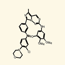 COc1cc(Nc2ncc3c(C)nc(-c4cccc(Nc5ccc(N6CCOCC6)c(Cl)c5)c4)n3n2)cc(OC)c1OC